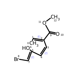 C\C=C(/C=C\C(O)=C\Br)C(=O)OC